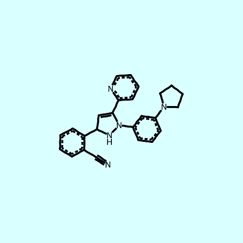 N#Cc1ccccc1C1C=C(c2ccccn2)N(c2cccc(N3CCCC3)c2)N1